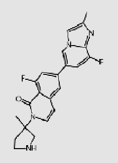 Cc1cn2cc(-c3cc(F)c4c(=O)n(C5(C)CCNC5)ccc4c3)cc(F)c2n1